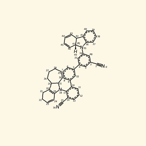 N#Cc1cc(-c2cccc(-c3cccc(C#N)c3N3C4=C(CCC=C4)C4CCCCCC43)c2)cc(N2c3ccccc3C3C=CC=C[C@H]32)c1